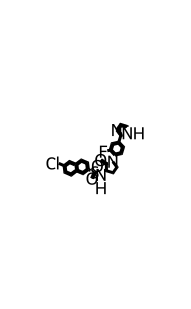 O=C1[C@@H](NS(=O)(=O)c2ccc3cc(Cl)ccc3c2)CCN1c1ccc(-c2ncc[nH]2)cc1F